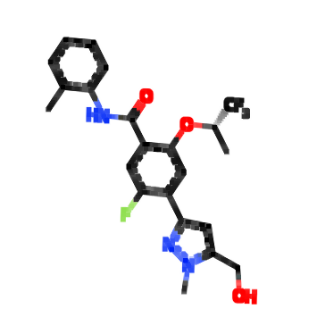 Cc1ccccc1NC(=O)c1cc(F)c(-c2cc(CO)n(C)n2)cc1O[C@@H](C)C(F)(F)F